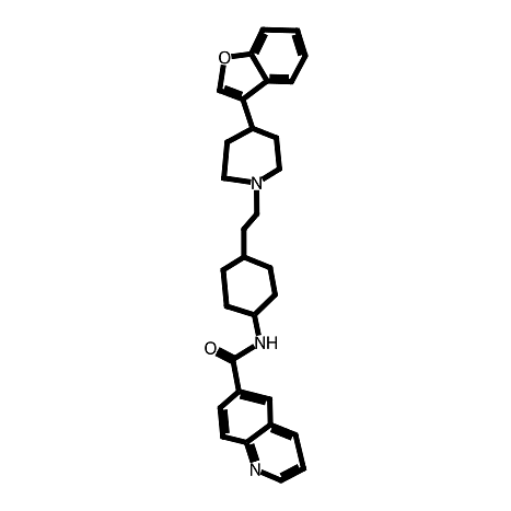 O=C(NC1CCC(CCN2CCC(c3coc4ccccc34)CC2)CC1)c1ccc2ncccc2c1